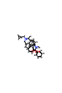 CC1N(CC2CC2)CC2Cc3ccc(O)cc3C23C2CCC13CCC2N(C)C(=O)c1ccccc1